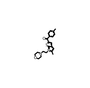 Cc1ccc(C(=O)c2cc3cc(C)n(CCN4CCOCC4)c3s2)cc1